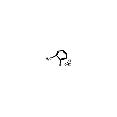 Cc1ccccc1Br.O=CCl